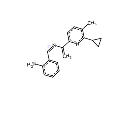 C=C(/N=C\c1ccccc1N)c1ccc(C)c(C2CC2)n1